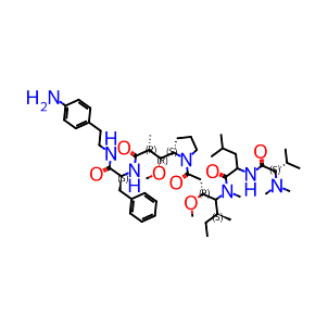 CC[C@H](C)C([C@@H](CC(=O)N1CCC[C@H]1[C@H](OC)[C@@H](C)C(=O)N[C@@H](Cc1ccccc1)C(=O)NCCc1ccc(N)cc1)OC)N(C)C(=O)C(CC(C)C)NC(=O)[C@H](C(C)C)N(C)C